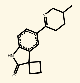 CC1CCC(c2ccc3c(c2)C2(CCC2)C(=O)N3)=NC1